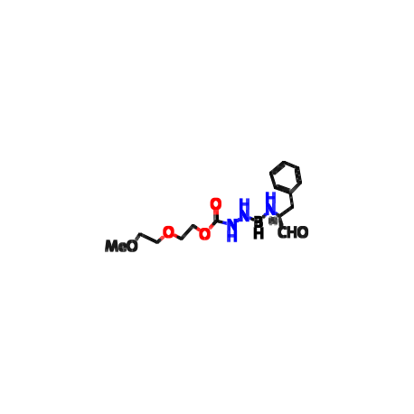 COCCOCCOC(=O)NNBN[C@H](C=O)Cc1ccccc1